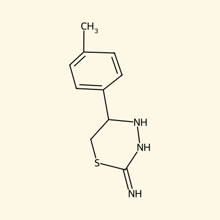 Cc1ccc(C2CSC(=N)NN2)cc1